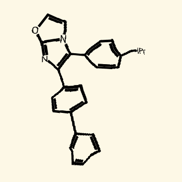 CC(C)c1ccc(-c2c(-c3ccc(-c4ccccc4)cc3)nc3occn23)cc1